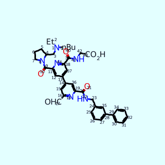 CCCCN(CC)CC1CCCN1C(=O)c1cc(-c2cc(C=O)nc(C(=O)NCc3cccc(-c4ccccc4)c3)c2)cc(C(=O)NCC(=O)O)n1